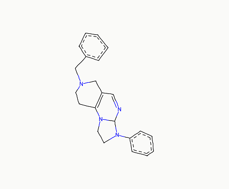 C1=NC2N(CCN2c2ccccc2)C2=C1CN(Cc1ccccc1)CC2